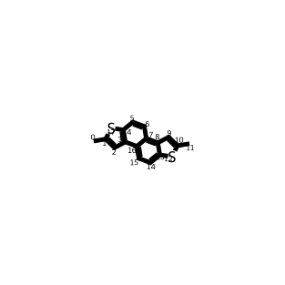 Cc1cc2c(ccc3c4cc(C)sc4ccc23)s1